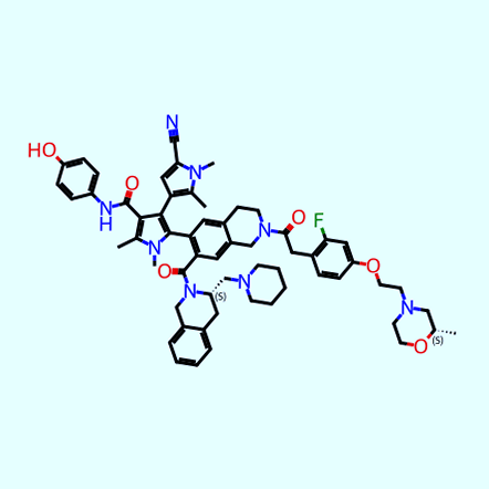 Cc1c(-c2c(C(=O)Nc3ccc(O)cc3)c(C)n(C)c2-c2cc3c(cc2C(=O)N2Cc4ccccc4C[C@H]2CN2CCCCC2)CN(C(=O)Cc2ccc(OCCN4CCO[C@@H](C)C4)cc2F)CC3)cc(C#N)n1C